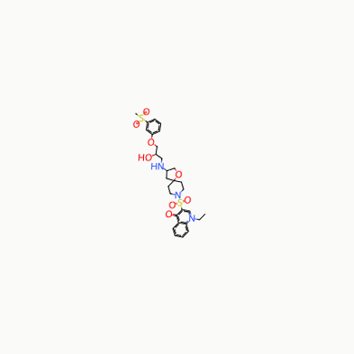 CCn1cc(S(=O)(=O)N2CCC3(CC2)C[C@@H](NC[C@@H](O)COc2cccc(S(C)(=O)=O)c2)CO3)c(=O)c2ccccc21